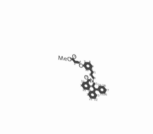 COC(=O)/C=C/Oc1cccc(CCCN(CCC(c2ccccc2)c2ccccc2)C(=O)c2ccccc2)c1